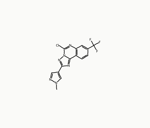 Cn1cc(-c2nc3c4ccc(C(F)(F)F)cc4nc(Cl)n3n2)cn1